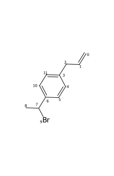 C=CCc1ccc(C(C)Br)cc1